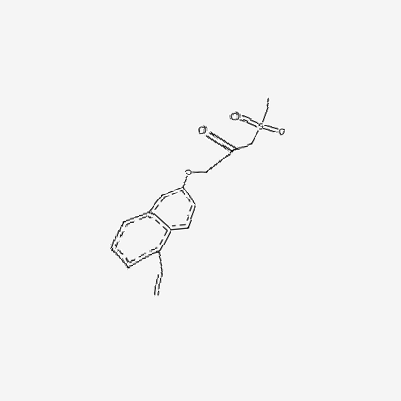 C=Cc1cccc2cc(OCC(=O)CS(C)(=O)=O)ccc12